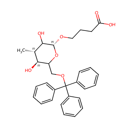 C[C@@H]1C(O)[C@H](OCCCC(=O)O)OC(COC(c2ccccc2)(c2ccccc2)c2ccccc2)[C@H]1O